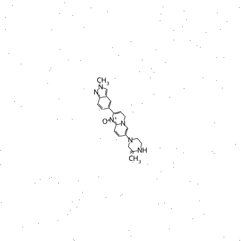 C[C@@H]1CN(C2=CN3CC=C(c4ccc5nn(C)cc5c4)[N+]([O-])=C3C=C2)CCN1